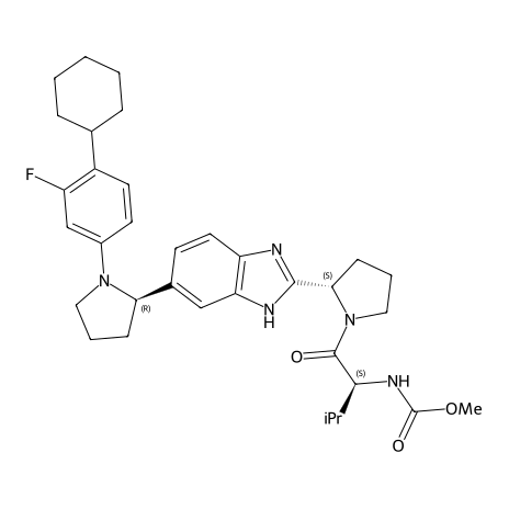 COC(=O)N[C@H](C(=O)N1CCC[C@H]1c1nc2ccc([C@H]3CCCN3c3ccc(C4CCCCC4)c(F)c3)cc2[nH]1)C(C)C